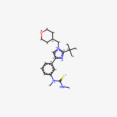 CNC(=S)N(C)c1cccc(-c2cn(CC3CCOCC3)c(C(C)(C)C)n2)c1